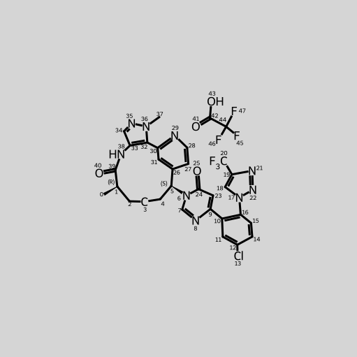 C[C@@H]1CCC[C@H](n2cnc(-c3cc(Cl)ccc3-n3cc(C(F)(F)F)nn3)cc2=O)c2ccnc(c2)-c2c(cnn2C)NC1=O.O=C(O)C(F)(F)F